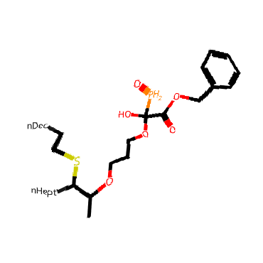 CCCCCCCCCCCCSC(CCCCCCC)C(C)OCCCOC(O)([PH2]=O)C(=O)OCc1ccccc1